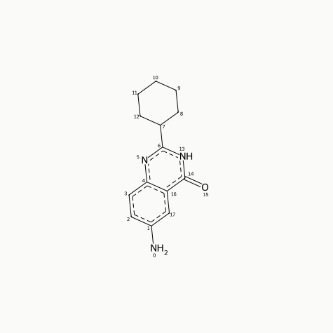 Nc1ccc2nc(C3CCCCC3)[nH]c(=O)c2c1